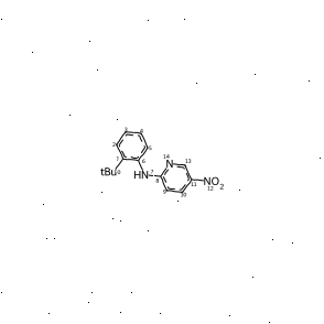 CC(C)(C)c1ccccc1Nc1ccc([N+](=O)[O-])cn1